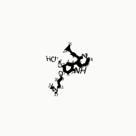 COc1cc2c(cc1OCCCN(C)C)[nH]c1ccnc(C#CC3CC3)c12.Cl